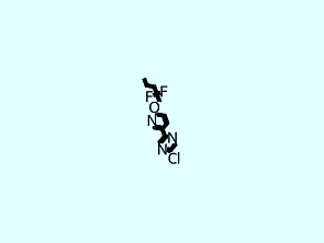 CCCC(F)(F)COc1ccc(-c2cnc(Cl)cn2)cn1